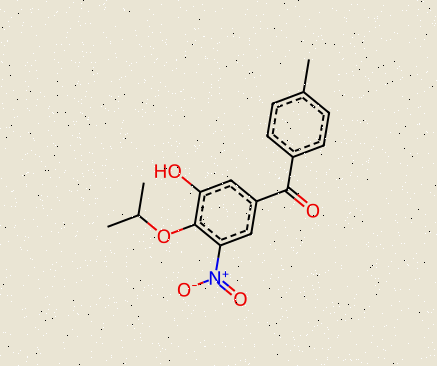 Cc1ccc(C(=O)c2cc(O)c(OC(C)C)c([N+](=O)[O-])c2)cc1